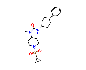 CN(C(=O)N[C@H]1CC[C@H](c2ccccc2)CC1)C1CCN(S(=O)(=O)C2CC2)CC1